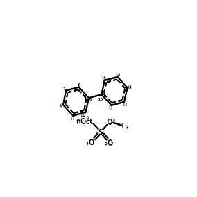 CCCCCCCCS(=O)(=O)OI.c1ccc(-c2ccccc2)cc1